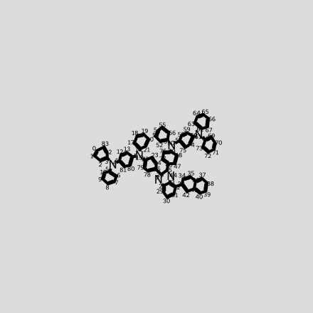 c1ccc(N(c2ccccc2)c2ccc(N(c3ccccc3)c3ccc(-c4nc5cccc(-c6ccc7ccccc7c6)c5nc4-c4ccc(N(c5ccccc5)c5ccc(N(c6ccccc6)c6ccccc6)cc5)cc4)cc3)cc2)cc1